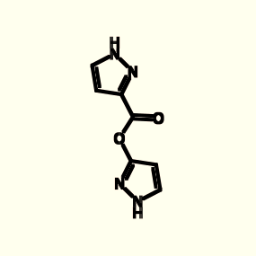 O=C(Oc1cc[nH]n1)c1cc[nH]n1